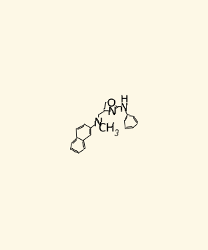 CN(CC1COC(Nc2ccccc2)=N1)c1ccc2ccccc2c1